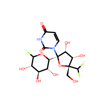 O=c1ccn([C@]2(C3OC(F)[C@@H](O)[C@H](O)[C@H]3O)O[C@@](CO)(C(F)F)[C@@H](O)[C@H]2O)c(=O)[nH]1